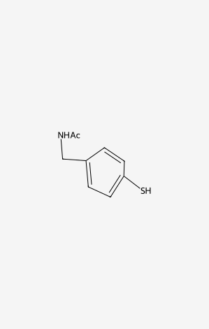 CC(=O)NCc1ccc(S)cc1